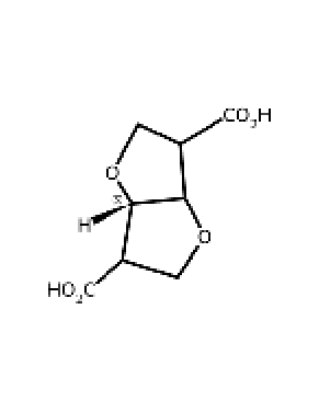 O=C(O)C1CO[C@H]2C(C(=O)O)COC12